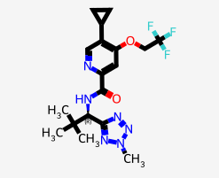 Cn1nnc([C@H](NC(=O)c2cc(OCC(F)(F)F)c(C3CC3)cn2)C(C)(C)C)n1